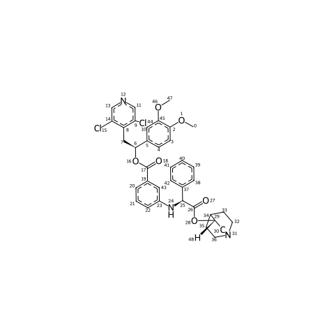 COc1ccc([C@H](Cc2c(Cl)cncc2Cl)OC(=O)c2cccc(N[C@H](C(=O)O[C@H]3CN4CCC3CC4)c3ccccc3)c2)cc1OC